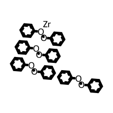 [Zr].c1ccc(OOc2ccccc2)cc1.c1ccc(OOc2ccccc2)cc1.c1ccc(OOc2ccccc2)cc1.c1ccc(OOc2ccccc2)cc1